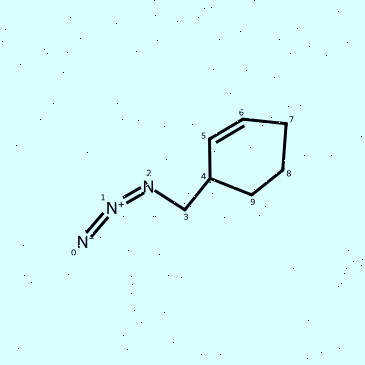 [N-]=[N+]=NC[C]1C=CCCC1